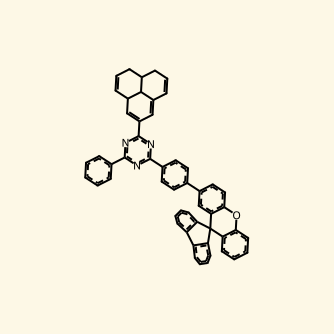 C1=CC2=CC(c3nc(-c4ccccc4)nc(-c4ccc(-c5ccc6c(c5)C5(c7ccccc7O6)c6ccccc6-c6ccccc65)cc4)n3)=CC3C=CCC(C1)C23